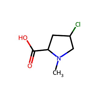 CN1CC(Cl)CC1C(=O)O